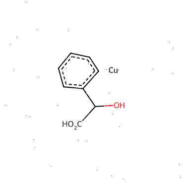 O=C(O)C(O)c1ccccc1.[Cu]